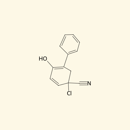 N#CC1(Cl)C=CC(O)=C(c2ccccc2)C1